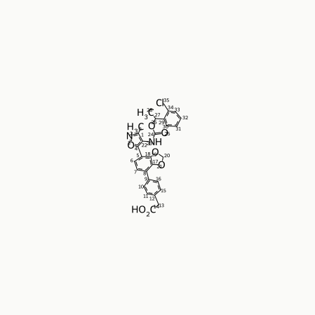 Cc1noc(-c2ccc(-c3ccc(CC(=O)O)cc3)c3c2OCO3)c1NC(=O)OC(C)c1ccccc1Cl